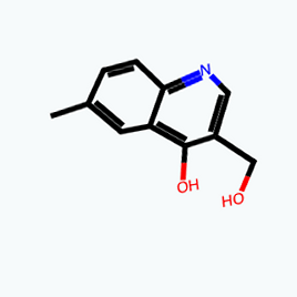 Cc1ccc2ncc(CO)c(O)c2c1